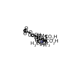 CNC(C(=O)N[C@H](C(=O)N(C)C(/C=C(\C)C(=O)N[C@H](CCC(=O)O)C(=O)O)C(C)C)C(C)(C)C)C(C)(C)c1ccc(OC(=O)CCN2C(=O)C=CC2=O)cc1